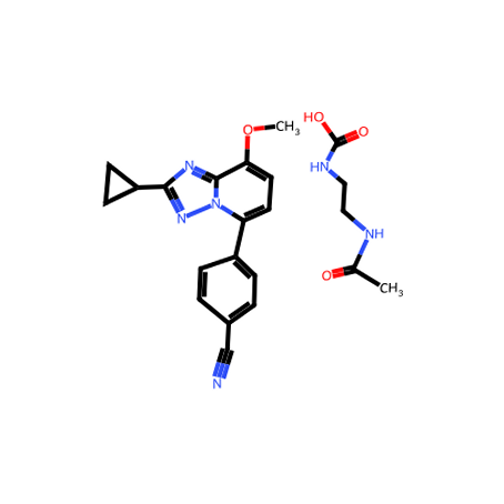 CC(=O)NCCNC(=O)O.COc1ccc(-c2ccc(C#N)cc2)n2nc(C3CC3)nc12